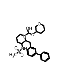 CS(=O)(=O)NC1CCCN(C(O)OC2CCCOC2)C1Cc1cccc(-c2ccccc2)c1